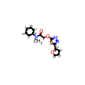 CN(C(=O)COc1nnc(-c2ccco2)s1)c1ccccc1